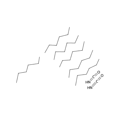 CCCCCC.CCCCCC.CCCCCC.CCCCCC.CCCCCC.CCCCCC.N=C=O.N=C=O